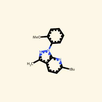 COc1ccccc1-n1nc(C)c2ccc(C(C)(C)C)nc21